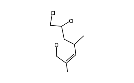 CC(=CC(C)CC(Cl)CCl)C[O]